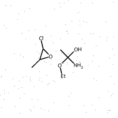 CC1OC1Cl.CCOC(C)(N)O